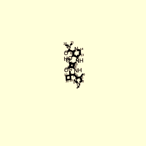 Cc1cn(C)nc1[C@H](Nc1c(Nc2ccnc(C(=O)N(C)C)c2O)c(=O)c1=O)C1(C)CCC1